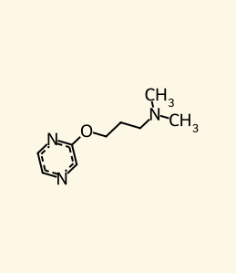 CN(C)CCCOc1cnccn1